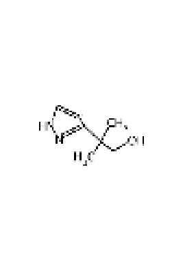 CC(C)(CO)c1[c]c[nH]n1